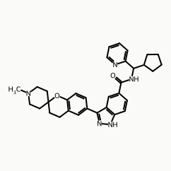 CN1CCC2(CCc3cc(-c4n[nH]c5ccc(C(=O)NC(c6ccccn6)C6CCCC6)cc45)ccc3O2)CC1